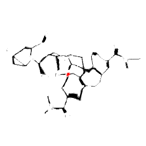 Cc1nnc(C2(C[C@@H](C)NCC(=O)N3C(C#N)C[C@@H]4C[C@@H]43)c3ccc(C(=O)N(C)C)cc3CCc3cc(C(=O)N(C)C)ccc32)[nH]1